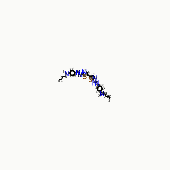 CCCCN(C)c1ccc(/N=N/c2ncc(-c3cnc(/N=N/c4ccc(N(C)CCCC)cc4)s3)s2)cc1